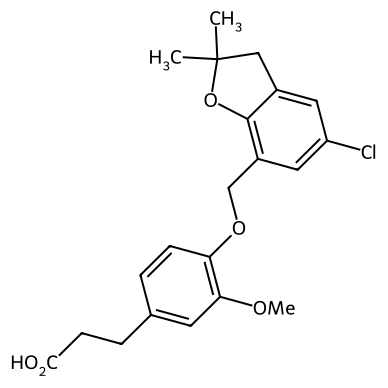 COc1cc(CCC(=O)O)ccc1OCc1cc(Cl)cc2c1OC(C)(C)C2